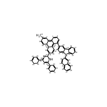 CC1=CC2=c3cccc(-c4ccc5c(c4)c4ccccc4n5-c4ccc5ccccc5c4)c3=C3C=CC(C4N=C(C5=CC=CCC5)C=C(c5ccccc5)N4)=CC3C2C=C1